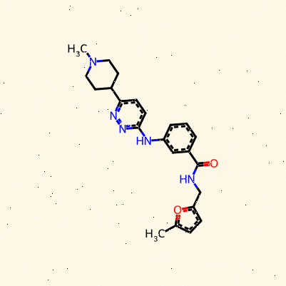 Cc1ccc(CNC(=O)c2cccc(Nc3ccc(C4CCN(C)CC4)nn3)c2)o1